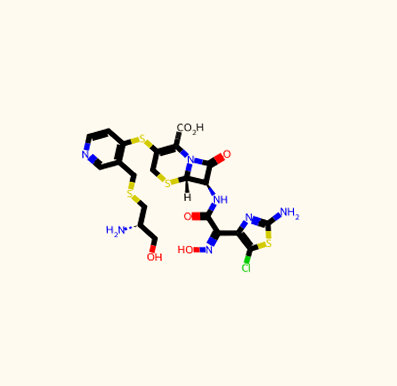 Nc1nc(/C(=N/O)C(=O)N[C@@H]2C(=O)N3C(C(=O)O)=C(Sc4ccncc4CSC[C@@H](N)CO)CS[C@@H]23)c(Cl)s1